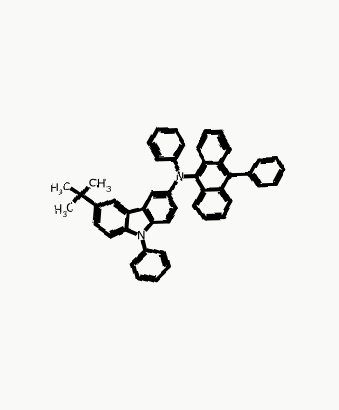 CC(C)(C)c1ccc2c(c1)c1cc(N(c3ccccc3)c3c4ccccc4c(-c4ccccc4)c4ccccc34)ccc1n2-c1ccccc1